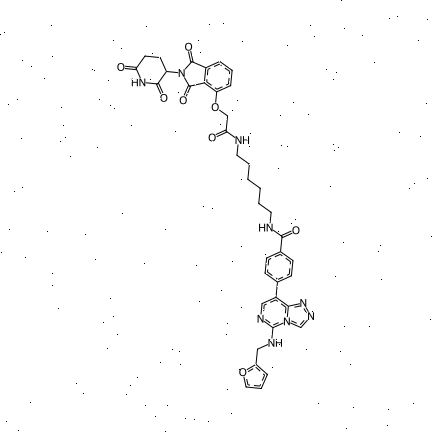 O=C(COc1cccc2c1C(=O)N(C1CCC(=O)NC1=O)C2=O)NCCCCCCNC(=O)c1ccc(-c2cnc(NCc3ccco3)n3cnnc23)cc1